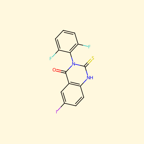 O=c1c2cc(I)ccc2[nH]c(=S)n1-c1c(F)cccc1F